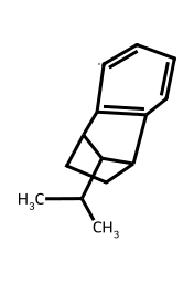 CC(C)C1C2CCC1c1ccc[c]c12